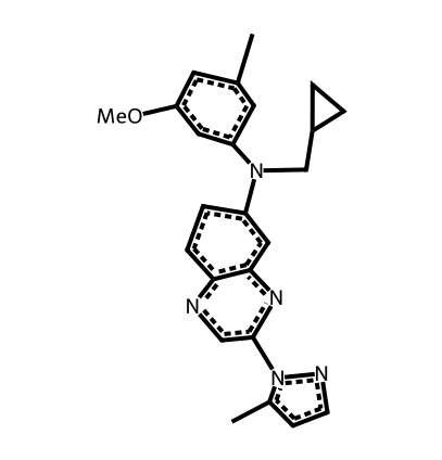 COc1cc(C)cc(N(CC2CC2)c2ccc3ncc(-n4nccc4C)nc3c2)c1